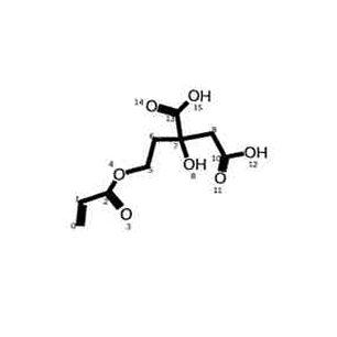 C=CC(=O)OCCC(O)(CC(=O)O)C(=O)O